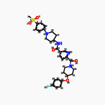 CS(=O)(=O)c1ccc(N2CCC(NC(=O)c3ccc(C(=O)N4CCC(Oc5ccc(F)cc5)CC4)nc3)CC2)cc1